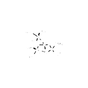 CO[Si](OC)(OC)O[Si](C)(O[Si](OC)(OC)OC)O[Si](OC)(OC)OC